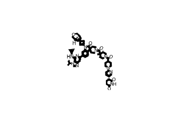 CC(C)n1cnc2cc(-c3ccc4c(c3)N(C3CC(N5C6CC[C@H]5COC6)C3)C(=O)C43CCN(C(=O)C4(C)CCN(C(=O)C5CCN(c6ccc([C@H]7CCC(=O)NC7=O)cn6)CC5)CC4)CC3)nc(NC3CC3)c21